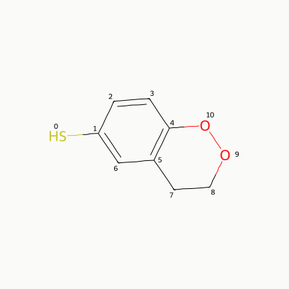 Sc1ccc2c(c1)CCOO2